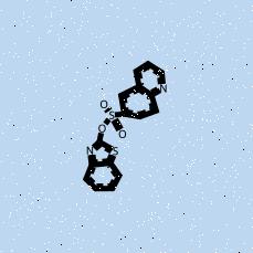 O=S(=O)(Oc1nc2ccccc2s1)c1ccc2ncccc2c1